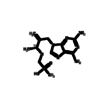 C=C(Cn1cnc2c(N)nc(N)nc21)[C@H](C)OCP(C)(=O)O